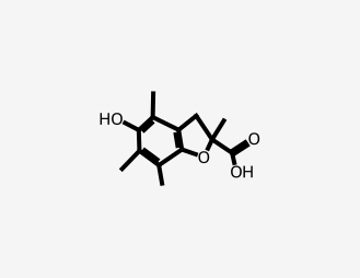 Cc1c(C)c2c(c(C)c1O)CC(C)(C(=O)O)O2